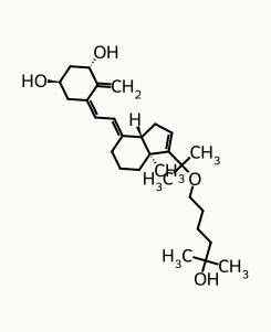 C=C1/C(=C\C=C2/CCC[C@]3(C)C(C(C)(C)OCCCCC(C)(C)O)=CC[C@@H]23)C[C@@H](O)C[C@@H]1O